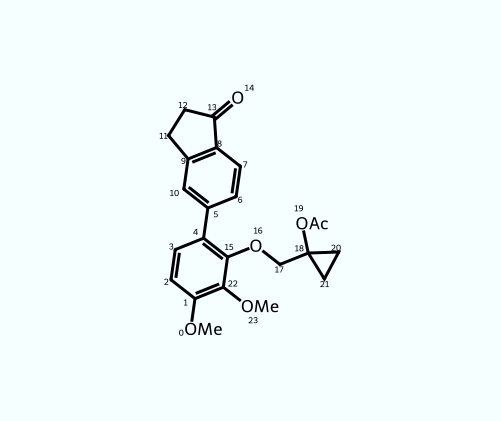 COc1ccc(-c2ccc3c(c2)CCC3=O)c(OCC2(OC(C)=O)CC2)c1OC